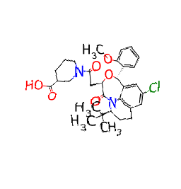 COc1ccccc1[C@H]1O[C@H](CC(=O)N2CCCC(C(=O)O)C2)C(=O)N2c3c(cc(Cl)cc31)CC[C@H]2C(C)(C)C